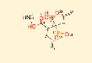 C=CCC(C(=O)O)C(CC=C)(C(=O)O)P(=O)=O.[NaH]